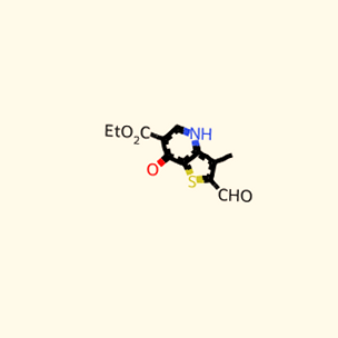 CCOC(=O)c1c[nH]c2c(C)c(C=O)sc2c1=O